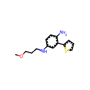 COCCCNc1ccc(N)c(-c2cccs2)c1